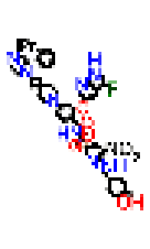 CC(C)c1ccccc1[C@@H]1CN(C)CCN1C1CC2(CCN(c3ccc(C(=O)NS(=O)(=O)c4cnc(NCC5CCC(C)(O)CC5)c([N+](=O)[O-])c4)c(Oc4cnc5[nH]cc(F)c5c4)c3)CC2)C1